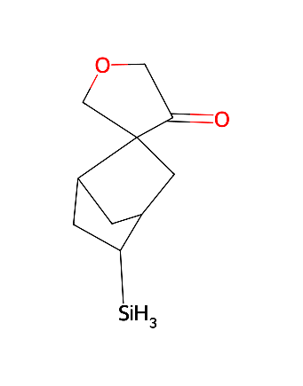 O=C1COCC12CC1CC2CC1[SiH3]